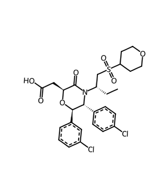 CC[C@@H](CS(=O)(=O)C1CCOCC1)N1C(=O)[C@H](CC(=O)O)O[C@H](c2cccc(Cl)c2)[C@H]1c1ccc(Cl)cc1